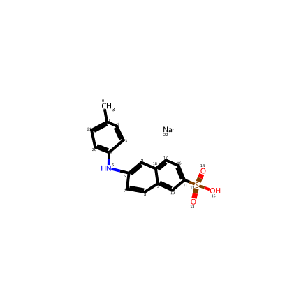 Cc1ccc(Nc2ccc3cc(S(=O)(=O)O)ccc3c2)cc1.[Na]